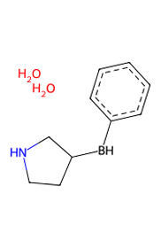 B(c1ccccc1)C1CCNC1.O.O